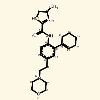 CC1CNC(C(=O)Nc2ccc(CCN3CCOCC3)cc2C2=CCCCC2)=N1